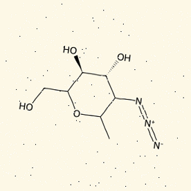 CC1OC(CO)[C@@H](O)[C@H](O)C1N=[N+]=[N-]